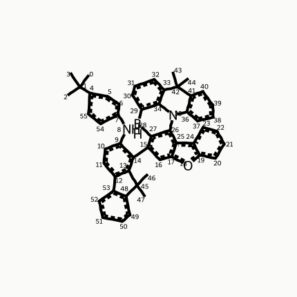 CC(C)(C)c1ccc(Nc2ccc3c(c2-c2cc4oc5ccccc5c4c4c2Bc2cccc5c2N4c2ccccc2C5(C)C)C(C)(C)c2ccccc2-3)cc1